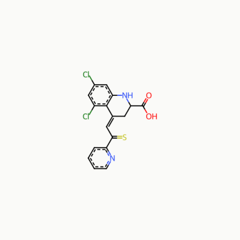 O=C(O)C1C/C(=C\C(=S)c2ccccn2)c2c(Cl)cc(Cl)cc2N1